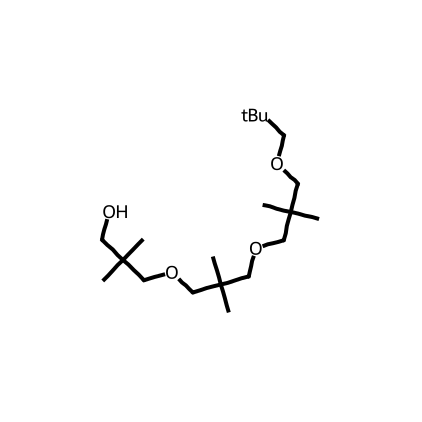 CC(C)(C)COCC(C)(C)COCC(C)(C)COCC(C)(C)CO